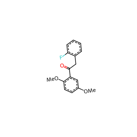 COc1ccc(OC)c(C(=O)Cc2ccccc2F)c1